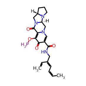 C=C/C(=C\C=C/C)CNC(=O)c1cn2c(c(OP)c1=O)C(=O)N1C[C@@H]3CCCN3[C@H]1C2